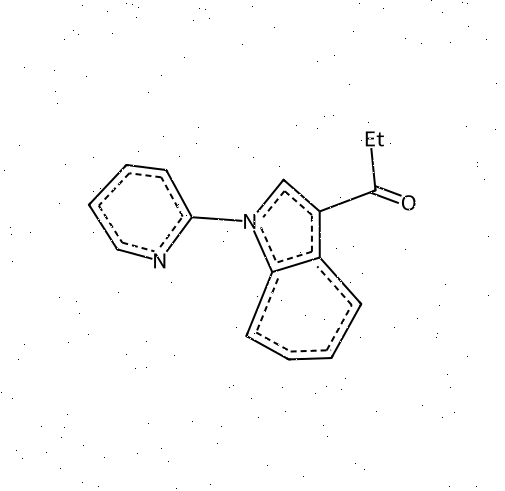 CCC(=O)c1cn(-c2ccccn2)c2ccccc12